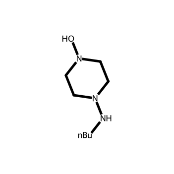 CCCCNN1CCN(O)CC1